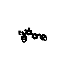 CCN(c1cc(-c2cccc(CN3CCOCC3)c2)cc(C)c1C)C1CCOCC1